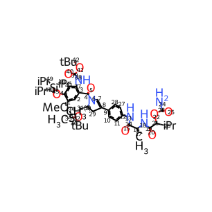 COc1cc(C(=O)N2C=C(c3ccc(NC(=O)C(C)NC(=O)C(OC(N)=O)C(C)C)cc3)C[C@H]2CO[Si](C)(C)C(C)(C)C)c(NC(=O)OC(C)(C)C)cc1O[Si](C(C)C)(C(C)C)C(C)C